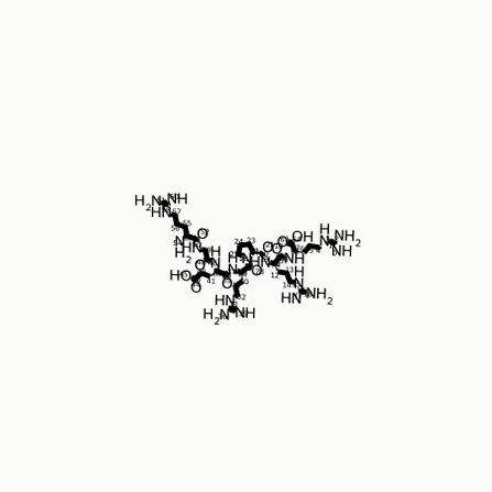 N=C(N)NCCC[C@H](NC(=O)[C@H](CCCNC(=N)N)NC(=O)[C@@H]1CCCN1C(=O)[C@H](CCCNC(=N)N)NC(=O)[C@H](CCC(=O)O)NC(=O)CNC(=O)[C@@H](N)CCCNC(=N)N)C(=O)O